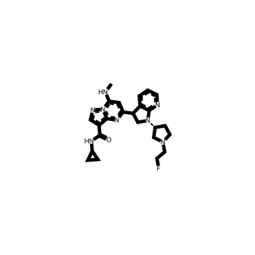 CNc1cc(C2CN([C@@H]3CCN(CCF)C3)c3ncccc32)nc2c(C(=O)NC3CC3)cnn12